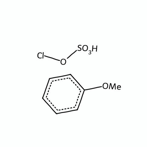 COc1ccccc1.O=S(=O)(O)OCl